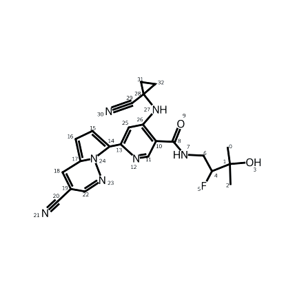 CC(C)(O)C(F)CNC(=O)c1cnc(-c2ccc3cc(C#N)cnn23)cc1NC1(C#N)CC1